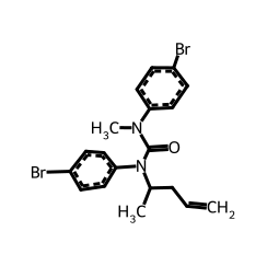 C=CCC(C)N(C(=O)N(C)c1ccc(Br)cc1)c1ccc(Br)cc1